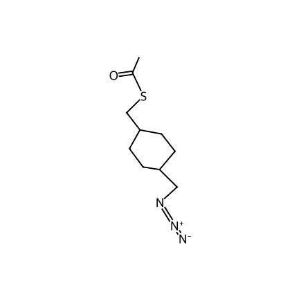 CC(=O)SCC1CCC(CN=[N+]=[N-])CC1